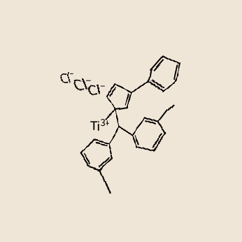 Cc1cccc(C(c2cccc(C)c2)[C]2([Ti+3])C=CC(c3ccccc3)=C2)c1.[Cl-].[Cl-].[Cl-]